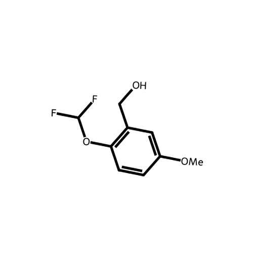 COc1ccc(OC(F)F)c(CO)c1